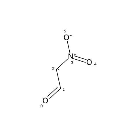 O=C[CH][N+](=O)[O-]